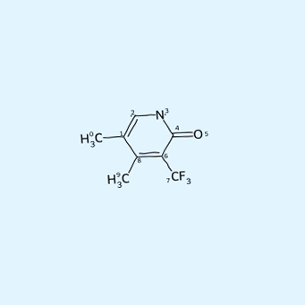 CC1=[C][N]C(=O)C(C(F)(F)F)=C1C